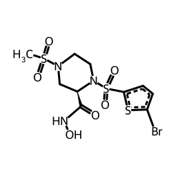 CS(=O)(=O)N1CCN(S(=O)(=O)c2ccc(Br)s2)[C@@H](C(=O)NO)C1